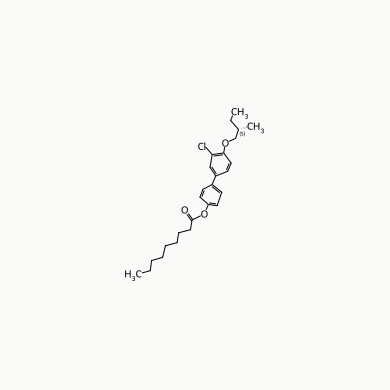 CCCCCCCCC(=O)Oc1ccc(-c2ccc(OC[C@@H](C)CC)c(Cl)c2)cc1